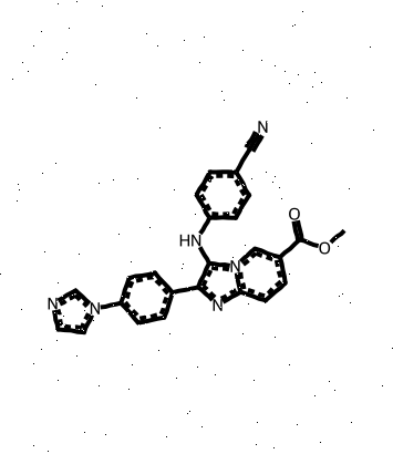 COC(=O)c1ccc2nc(-c3ccc(-n4ccnc4)cc3)c(Nc3ccc(C#N)cc3)n2c1